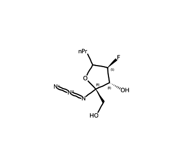 CCCC1O[C@@](CO)(N=[N+]=[N-])[C@@H](O)[C@@H]1F